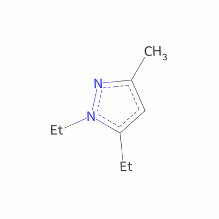 CCc1cc(C)nn1CC